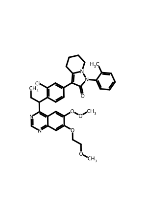 CCC(c1ccc(-c2c3n(n(-c4ccccc4C)c2=O)CCCC3)cc1Cl)c1ncnc2cc(OCCOC)c(OOC)cc12